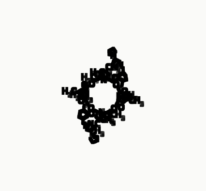 CC(C)C[C@H]1C(=O)O[C@H](Cc2ccc(Cn3cc(N4CCCC4)cn3)cc2)C(=O)N(C)[C@@H](CC(C)C)C(=O)O[C@H](C)C(=O)N(C)[C@@H](CC(C)C)C(=O)O[C@H](Cc2ccc(Cn3cc(N4CCCC4)cn3)cc2)C(=O)N(C)[C@@H](CC(C)C)C(=O)O[C@H](C)C(=O)N1C